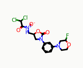 O=C1OC(C[NH+]([O-])C(=O)C(Cl)Cl)CN1c1cccc(N2CCOC(F)C2)c1